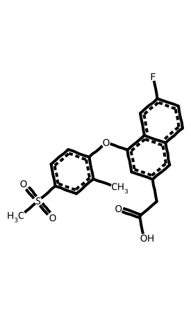 Cc1cc(S(C)(=O)=O)ccc1Oc1cc(CC(=O)O)cc2ccc(F)cc12